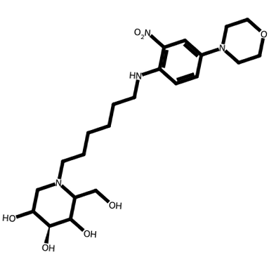 O=[N+]([O-])c1cc(N2CCOCC2)ccc1NCCCCCCN1CC(O)[C@H](O)C(O)C1CO